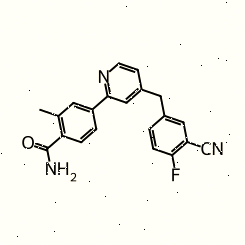 Cc1cc(-c2cc(Cc3ccc(F)c(C#N)c3)ccn2)ccc1C(N)=O